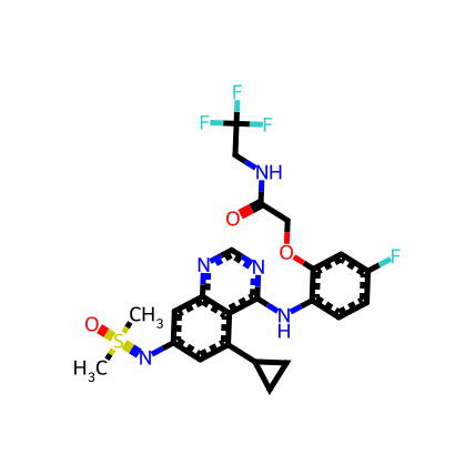 CS(C)(=O)=Nc1cc(C2CC2)c2c(Nc3ccc(F)cc3OCC(=O)NCC(F)(F)F)ncnc2c1